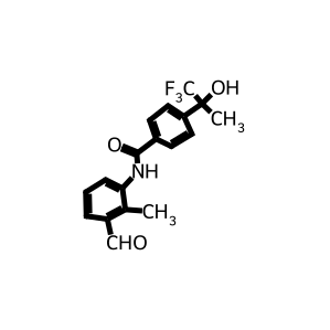 Cc1c(C=O)cccc1NC(=O)c1ccc(C(C)(O)C(F)(F)F)cc1